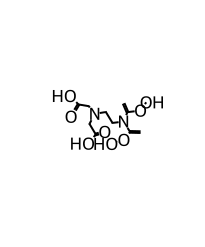 C=C(OO)N(CCN(CC(=O)O)CC(=O)O)C(=C)OO